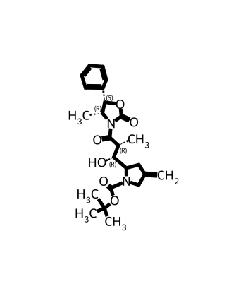 C=C1CC([C@H](O)[C@@H](C)C(=O)N2C(=O)O[C@@H](c3ccccc3)[C@H]2C)N(C(=O)OC(C)(C)C)C1